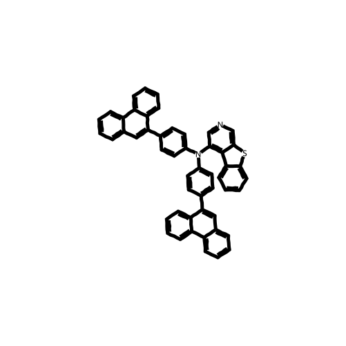 c1ccc2c(c1)cc(-c1ccc(N(c3ccc(-c4cc5ccccc5c5ccccc45)cc3)c3cncc4sc5ccccc5c34)cc1)c1ccccc12